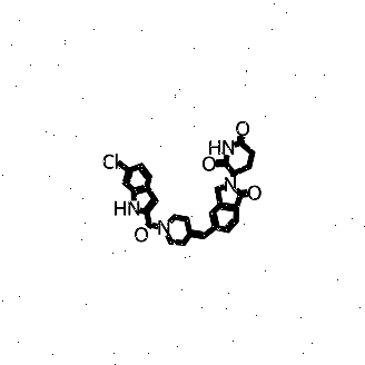 O=C1CCC(N2Cc3cc(C=C4CCN(C(=O)c5cc6ccc(Cl)cc6[nH]5)CC4)ccc3C2=O)C(=O)N1